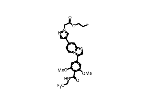 COc1cc(-c2cnc3cc(-c4cnn(CC(=O)OCCF)c4)ccn23)cc(OC)c1C(=O)NCC(F)(F)F